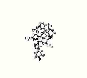 CCN(C(=O)C(S[C@@H]1O[C@H](COC(C)=O)[C@H](OC(C)=O)[C@H](n2cc(-c3cc(F)c(F)c(F)c3)nn2)[C@H]1OC(C)=O)C1(O)CCOCC1)c1ccccc1